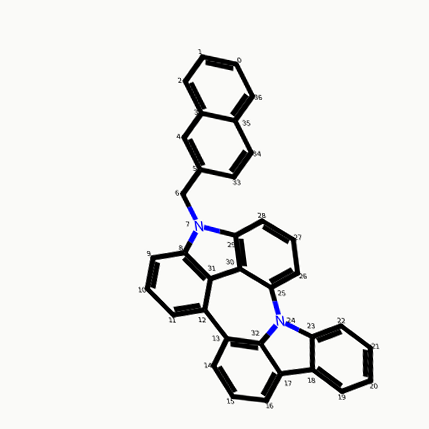 c1ccc2cc(Cn3c4cccc5c6cccc7c8ccccc8n(c8cccc3c8c54)c67)ccc2c1